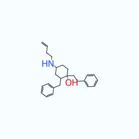 C=CCCNC1CCC(O)(CCc2ccccc2)C(Cc2ccccc2)C1